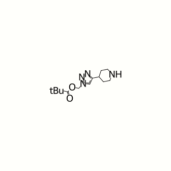 CC(C)(C)C(=O)OCn1cc(C2CCNCC2)nn1